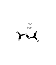 O=C([O-])N=NC(=O)[O-].[Na+].[Na+]